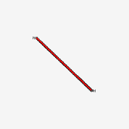 OCCCOCCCOCCCOCCCOCCCOCCCOCCCOCCCOCCCOCCCOCCCOCCCOCCCOCCCOCCCOCCCOCCCOCCCOCCCOCCCOCCCOCCCOCCCOCCCOCCCOCCCOCCCOCCCOCCCOCCCOCCCOCCCOCCCOCCCO